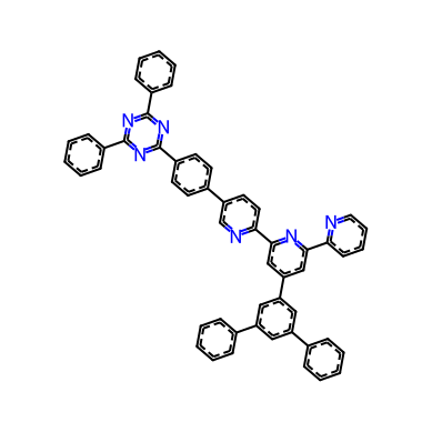 c1ccc(-c2cc(-c3ccccc3)cc(-c3cc(-c4ccccn4)nc(-c4ccc(-c5ccc(-c6nc(-c7ccccc7)nc(-c7ccccc7)n6)cc5)cn4)c3)c2)cc1